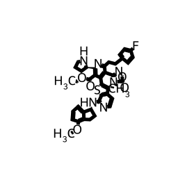 CCOC(=O)c1c([C@H]2CCCN2)nc(CCc2ccc(F)cc2)c(-c2noc(=O)n2C)c1-c1cc2ccnc(N[C@@H]3CCc4c(OC)cccc43)c2s1